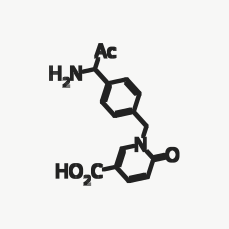 CC(=O)C(N)c1ccc(Cn2cc(C(=O)O)ccc2=O)cc1